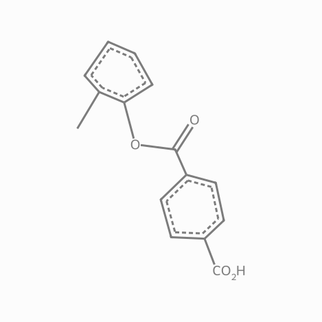 Cc1ccccc1OC(=O)c1ccc(C(=O)O)cc1